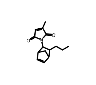 CCCC1C2C=CC(C2)C1N1C(=O)C=C(C)C1=O